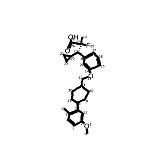 COc1ccc(C)c(C2CCC(COc3cccc([C@H](C4CC4)C(C)(F)C(=O)O)c3)CC2)c1